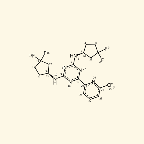 FC1(F)CC[C@H](Nc2nc(N[C@H]3CCC(F)(F)C3)nc(-c3cccc(C(F)(F)F)n3)n2)C1